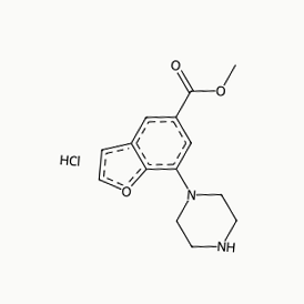 COC(=O)c1cc(N2CCNCC2)c2occc2c1.Cl